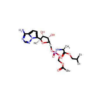 CCC(CC)COC(=O)[C@H](C)N[P@@](=O)(OCOC(=O)C(C)(C)C)OC[C@H]1O[C@@](C#N)(c2ccc3c(N)ncnn23)[C@H](O)[C@@H]1O